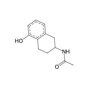 CC(=O)NC1CCc2c(O)cccc2C1